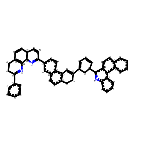 C1=CC(c2nc3ccccc3c3c2ccc2ccccc23)CC(C2=Cc3c(ccc4cc(C5=NC6C7=C(C=CC6C=C5)CCC(c5ccccc5)=N7)ccc34)CC2)=C1